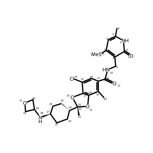 CSc1cc(C)[nH]c(=O)c1CNC(=O)c1cc(Cl)c2c(c1C)O[C@](C)([C@H]1CC[C@H](NC3COC3)CC1)O2